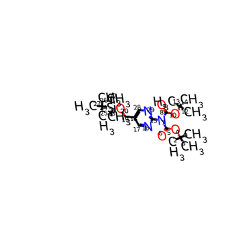 CC(C)(C)OC(=O)N(C(=O)OC(C)(C)C)c1ncc(CO[Si](C)(C)C(C)(C)C)cn1